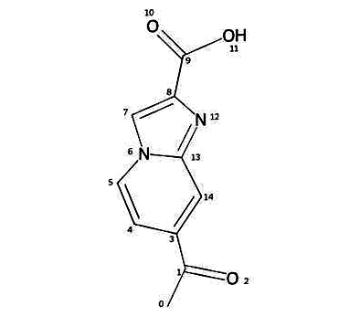 CC(=O)c1ccn2cc(C(=O)O)nc2c1